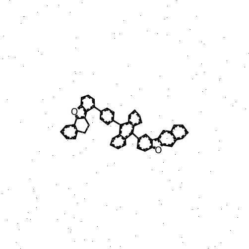 c1ccc2c(c1)CCc1c-2oc2cccc(-c3ccc(-c4c5ccccc5c(-c5ccc6oc7cc8ccccc8cc7c6c5)c5ccccc45)cc3)c12